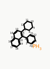 P.c1ccc(-c2c(C3CCCCC3)ccc3ccccc23)cc1